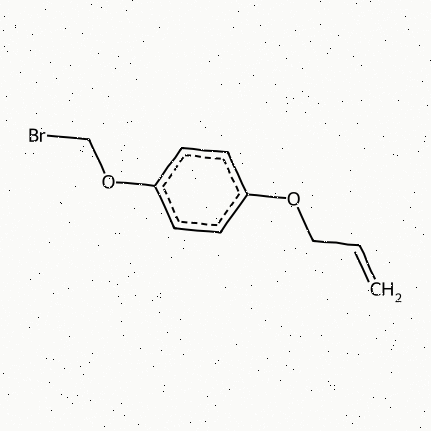 C=CCOc1ccc(OCBr)cc1